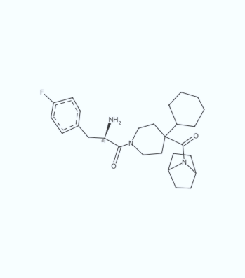 N[C@H](Cc1ccc(F)cc1)C(=O)N1CCC(C(=O)N2C3CCC2CC3)(C2CCCCC2)CC1